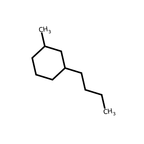 CCCCC1CCCC(C)C1